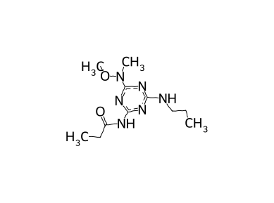 CCCNc1nc(NC(=O)CC)nc(N(C)OC)n1